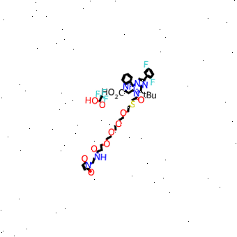 CC(C)(C)[C@H](c1nc(-c2cc(F)ccc2F)cn1Cc1ccccc1)N(CC[C@H](N)C(=O)O)C(=O)CSCCOCCOCCOCCOCCC(=O)NCCN1C(=O)C=CC1=O.O=C(O)C(F)(F)F